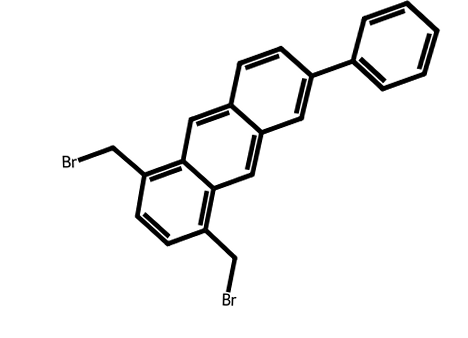 BrCc1ccc(CBr)c2cc3cc(-c4ccccc4)ccc3cc12